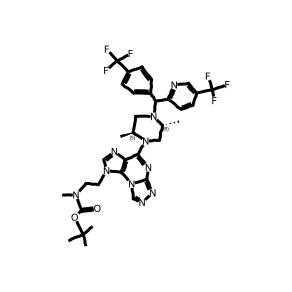 C[C@@H]1CN(c2nc3nncn3c3c2ncn3CCN(C)C(=O)OC(C)(C)C)[C@@H](C)CN1C(c1ccc(C(F)(F)F)cc1)c1ccc(C(F)(F)F)cn1